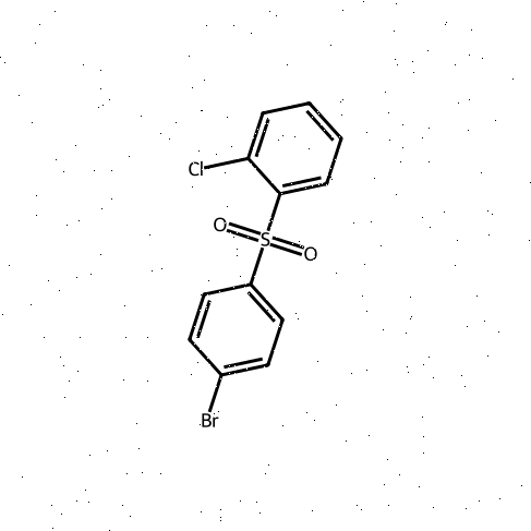 O=S(=O)(c1ccc(Br)cc1)c1ccccc1Cl